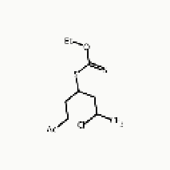 CCOC(=S)SC(CCC(C)=O)CC(Cl)C(F)(F)F